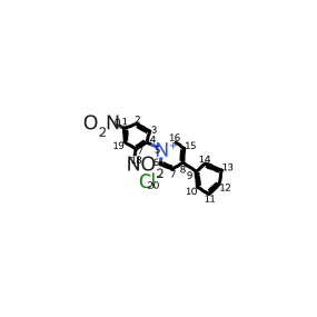 O=[N+]([O-])c1ccc(-[n+]2ccc(-c3ccccc3)cc2)c([N+](=O)[O-])c1.[Cl-]